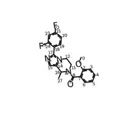 COc1ccccc1C(=O)N1CCn2c(cnc2-c2ccc(F)cc2F)C1C